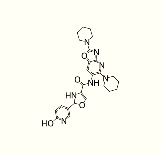 O=C(Nc1cc2oc(N3CCCCC3)nc2nc1N1CCCCC1)C1=COC(c2ccc(O)nc2)N1